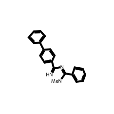 CN/C(=N\C(=N)c1ccc(-c2ccccc2)cc1)c1ccccc1